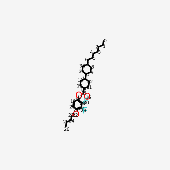 CCCCCCCC1CCC(C2CCC(C(=O)Oc3ccc(OCCCC)c(F)c3F)CC2)CC1